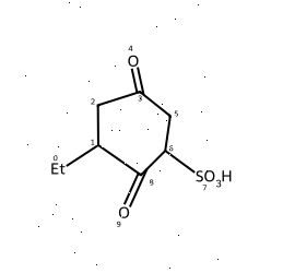 CCC1CC(=O)CC(S(=O)(=O)O)C1=O